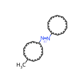 Cc1ccccc(/N=N/c2ccccccccc2)cccc1